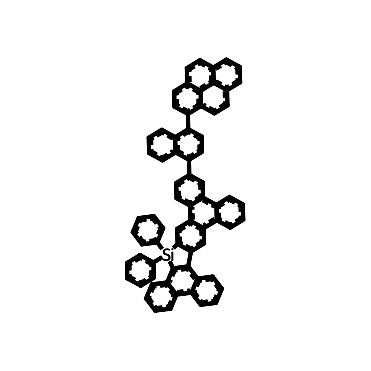 c1ccc([Si]2(c3ccccc3)c3cc4c5ccc(-c6ccc(-c7ccc8ccc9cccc%10ccc7c8c9%10)c7ccccc67)cc5c5ccccc5c4cc3-c3c2c2ccccc2c2ccccc32)cc1